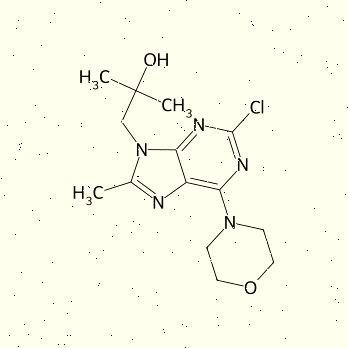 Cc1nc2c(N3CCOCC3)nc(Cl)nc2n1CC(C)(C)O